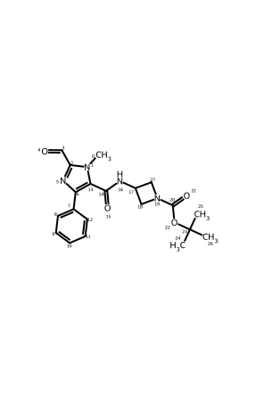 Cn1c(C=O)nc(-c2ccccc2)c1C(=O)NC1CN(C(=O)OC(C)(C)C)C1